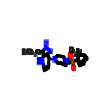 CCOC(=O)c1[nH]nc2c1NCC[C@H]2N1CCN(S(=O)(=O)c2ccccc2[N+](=O)[O-])CC1